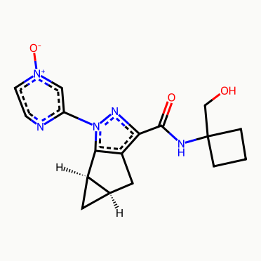 O=C(NC1(CO)CCC1)c1nn(-c2c[n+]([O-])ccn2)c2c1C[C@H]1C[C@@H]21